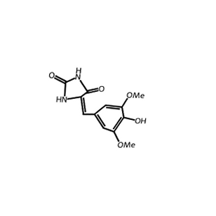 COc1cc(/C=C2/NC(=O)NC2=O)cc(OC)c1O